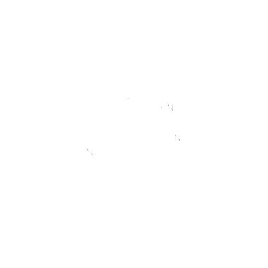 N#CCc1cc(F)c(C#N)c(C#N)c1F